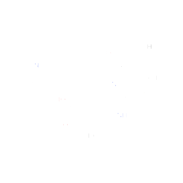 CC1=C(C(=O)O)C(c2cccc([N+](=O)[O-])c2Cl)N(C(=O)C(C)C)C(=S)N1